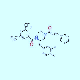 Cc1ccc(C[C@@H]2CN(C(=O)C=Cc3ccccc3)CCN2C(=O)c2cc(C(F)(F)F)cc(C(F)(F)F)c2)cc1C